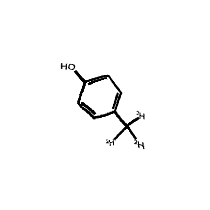 [2H]C([2H])([2H])c1ccc(O)cc1